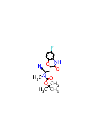 CN(C(=O)OC(C)(C)C)C(C#N)C[C@@H]1Oc2ccc(F)cc2NC1=O